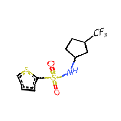 O=S(=O)(NC1CCC(C(F)(F)F)C1)c1cccs1